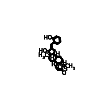 CN1C(=O)C=C[C@]2(C)[C@H]3CC[C@]4(C)[C@@H](O)C(=Cc5ccccc5O)C[C@H]4[C@@H]3CC[C@@H]12